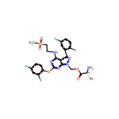 CC(C)[C@@H](N)C(=O)OCn1nc(-c2cc(F)ccc2F)c2c(NCCS(C)(=O)=O)nc(Oc3ccc(F)cc3F)nc21